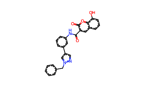 O=C(Nc1cccc(-c2cnn(Cc3ccccc3)c2)c1)c1cc2cccc(O)c2oc1=O